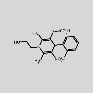 CC1=C(SC(=O)O)C(c2ccccc2Cl)C([N+](=O)[O-])=C(C)N1CCO